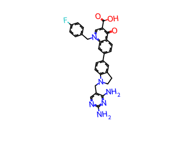 Nc1ncc(CN2CCc3cc(-c4ccc5c(=O)c(C(=O)O)cn(Cc6ccc(F)cc6)c5c4)ccc32)c(N)n1